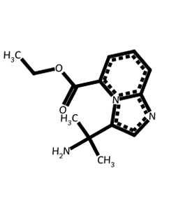 CCOC(=O)c1cccc2ncc(C(C)(C)N)n12